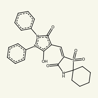 O=C1NC2(CCCCC2)S(=O)(=O)/C1=C/c1c(O)n(-c2ccccc2)n(-c2ccccc2)c1=O